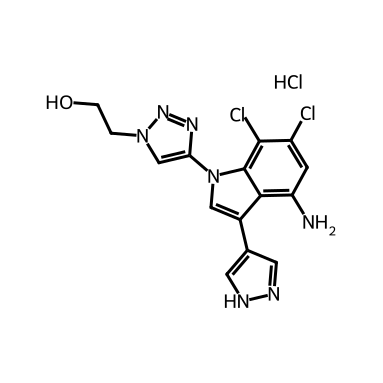 Cl.Nc1cc(Cl)c(Cl)c2c1c(-c1cn[nH]c1)cn2-c1cn(CCO)nn1